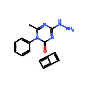 Cc1nc(NN)nc(=O)n1-c1ccccc1.c1cc2ccc1-2